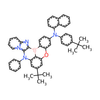 CC(C)(C)c1ccc(N(c2ccc3c(c2)Oc2cc(C(C)(C)C)cc4c2B3c2nc3ccccn3c2N4c2ccccc2)c2cccc3ccccc23)cc1